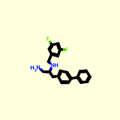 NCC(Cc1ccc(-c2ccccc2)cc1)NCc1cc(F)cc(F)c1